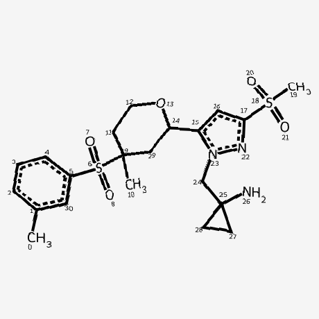 Cc1cccc(S(=O)(=O)C2(C)CCOC(c3cc(S(C)(=O)=O)nn3CC3(N)CC3)C2)c1